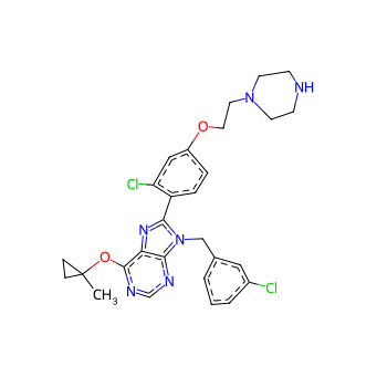 CC1(Oc2ncnc3c2nc(-c2ccc(OCCN4CCNCC4)cc2Cl)n3Cc2cccc(Cl)c2)CC1